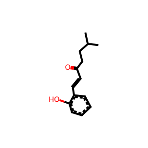 CC(C)CCC(=O)/C=C/c1ccccc1O